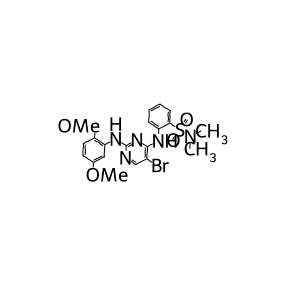 COc1ccc(OC)c(Nc2ncc(Br)c(Nc3ccccc3S(=O)(=O)N(C)C)n2)c1